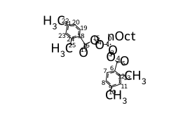 [CH2]CCCCCCC[C](OOC(=O)c1ccc(C)cc1C)OOC(=O)c1ccc(C)cc1C